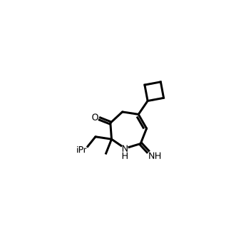 CC(C)CC1(C)NC(=N)C=C(C2CCC2)CC1=O